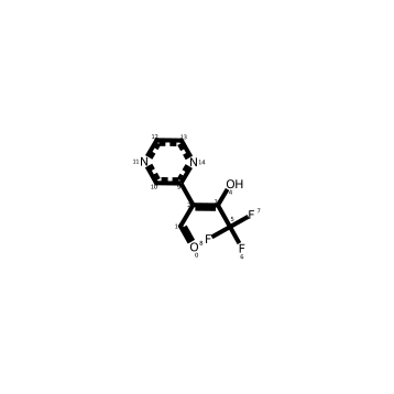 O=C/C(=C(/O)C(F)(F)F)c1cnccn1